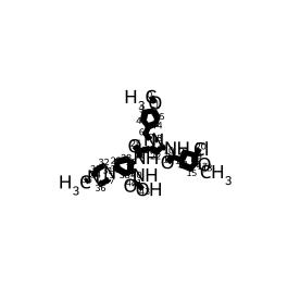 COc1ccc(Cn2nc(NC(=O)c3ccc(OC)c(Cl)c3)cc2C(=O)Nc2ccc(N3CCN(C)CC3)cc2NC(=O)O)cc1